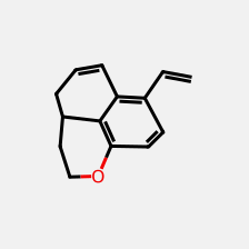 C=Cc1ccc2c3c1C=CCC3CCO2